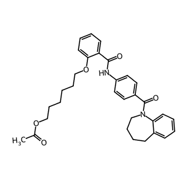 CC(=O)OCCCCCCOc1ccccc1C(=O)Nc1ccc(C(=O)N2CCCCc3ccccc32)cc1